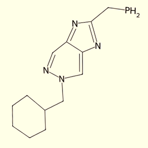 PCc1nc2cnn(CC3CCCCC3)cc-2n1